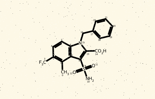 Cc1c(C(F)(F)F)ccc2c1c(S(N)(=O)=O)c(C(=O)O)n2Cc1ccccc1